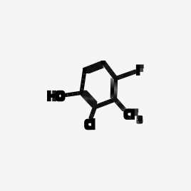 Oc1ccc(F)c(C(F)(F)F)c1Cl